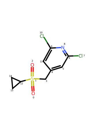 O=S(=O)(Cc1cc(Cl)nc(Cl)c1)C1CC1